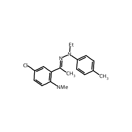 CCN(/N=C(\C)c1cc(Cl)ccc1NC)c1ccc(C)cc1